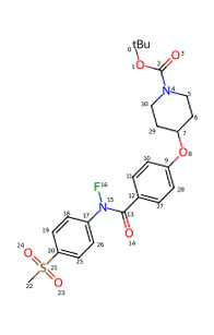 CC(C)(C)OC(=O)N1CCC(Oc2ccc(C(=O)N(F)c3ccc(S(C)(=O)=O)cc3)cc2)CC1